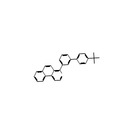 CC(C)(C)c1ccc(-c2cccc(-c3nccc4c3ccc3ccccc34)c2)cc1